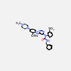 COc1cc(N2CCN(C)CC2)ccc1Nc1cc(N(C(=O)NCc2ccccc2)c2cccc([N+](=O)[O-])c2)ncn1